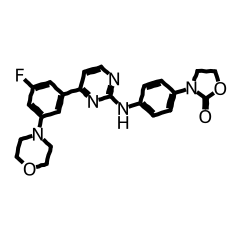 O=C1OCCN1c1ccc(Nc2nccc(-c3cc(F)cc(N4CCOCC4)c3)n2)cc1